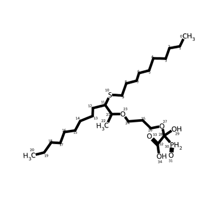 CCCCCCCCCCSC(CCCCCCCCC)C(C)OCCCOC(O)([PH2]=O)C(=O)O